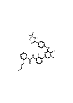 CCCCc1ccccc1C(=O)Nc1cccc(-c2cn(C)c(=O)c(Nc3ccc(C(=O)NS(C)(=O)=O)cc3)n2)c1C